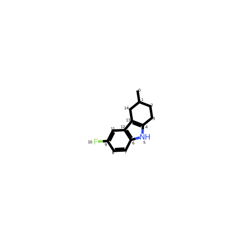 CC1CCc2[nH]c3ccc(F)cc3c2C1